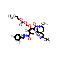 CCCOC(=O)OCOc1c2n(cc(C(=O)NCc3ccc(F)cc3F)c1=O)[C@@H]1CN(C2=O)[C@@H](C)CC[C@]12CC(C)=NO2